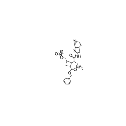 NCC(C(=O)Nc1cc2ccncc2s1)C1C(CO[N+](=O)[O-])CC1C(=O)OCc1ccccc1